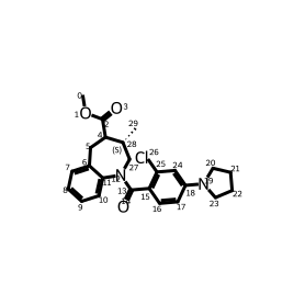 COC(=O)C1Cc2ccccc2N(C(=O)c2ccc(N3CCCC3)cc2Cl)C[C@H]1C